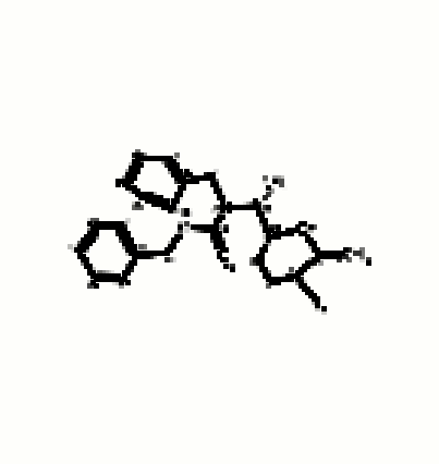 CC[C@H]([C@@H]1CCC(I)C(C)O1)N(Cc1ccccc1)C(=O)OCc1ccccc1